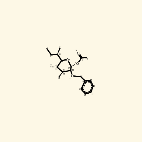 CC[C@@H](C)C1O[C@H](OC(C)=O)C(OCc2ccccc2)[C@@H](C)[C@@H]1C